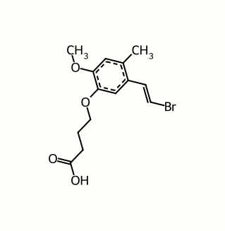 COc1cc(C)c(C=CBr)cc1OCCCC(=O)O